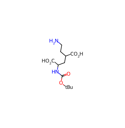 CC(C)(C)OC(=O)NC(CC(CCN)C(=O)O)C(=O)O